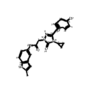 Cc1cc2cc(NC(=O)Cn3nc(-c4ccc(Cl)cc4)n(C4CC4)c3=O)ccc2[nH]1